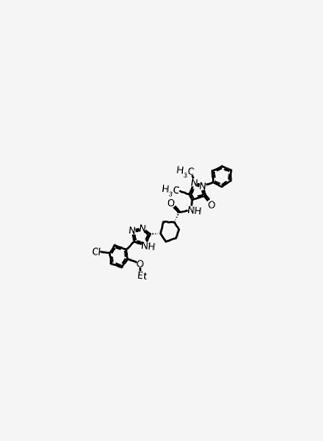 CCOc1ccc(Cl)cc1-c1nnc([C@H]2CCC[C@@H](C(=O)Nc3c(C)n(C)n(-c4ccccc4)c3=O)C2)[nH]1